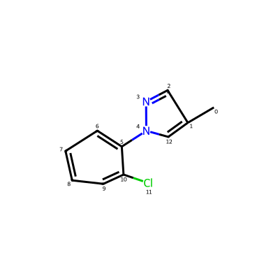 Cc1[c]nn(-c2ccccc2Cl)c1